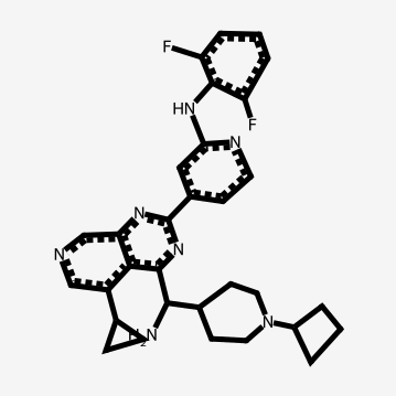 NC(c1nc(-c2ccnc(Nc3c(F)cccc3F)c2)nc2cncc(C3CC3)c12)C1CCN(C2CCC2)CC1